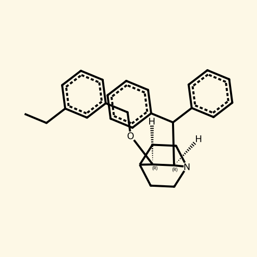 CCc1cccc(CO[C@@H]2C3CCN(CC3)[C@@H]2C(c2ccccc2)c2ccccc2)c1